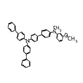 COc1cccc(N(C)c2ccc(-c3ccc(N(c4ccc(-c5ccccc5)cc4)c4ccc(-c5ccccc5)cc4)cc3)cc2)c1